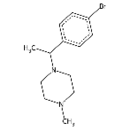 CC(c1ccc(Br)cc1)N1CCN(C)CC1